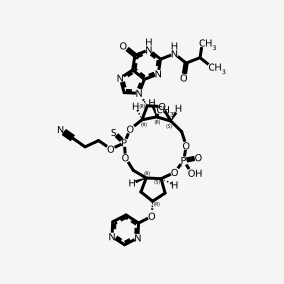 CC(C)C(=O)Nc1nc2c(ncn2[C@@H]2O[C@@H]3COP(=O)(O)O[C@H]4C[C@H](Oc5ccncn5)C[C@@H]4COP(=S)(OCCC#N)O[C@@H]2[C@@H]3C)c(=O)[nH]1